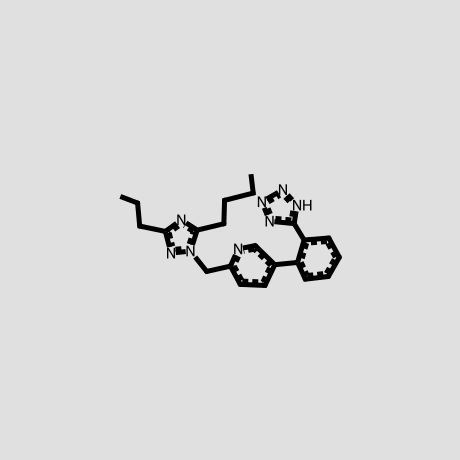 CCCCc1nc(CCC)nn1Cc1ccc(-c2ccccc2-c2nnn[nH]2)cn1